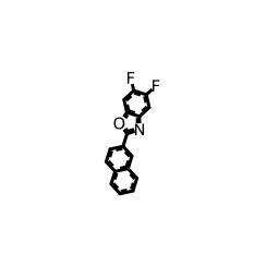 Fc1cc2nc(-c3ccc4ccccc4c3)oc2cc1F